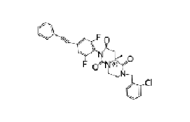 C[C@]12CC(=O)N(c3c(F)cc(C#Cc4ccccc4)cc3F)C(=O)N1CCN(Cc1ccccc1Cl)C2=O